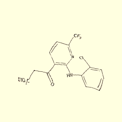 CCOC(=O)CC(=O)c1ccc(C(F)(F)F)nc1Nc1ccccc1Cl